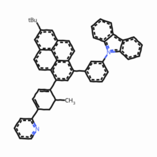 CC1CC(c2ccccn2)=CC=C1c1cc(-c2cccc(-n3c4ccccc4c4ccccc43)c2)c2ccc3cc(C(C)(C)C)cc4ccc1c2c43